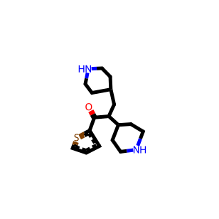 O=C(c1cccs1)C(CC1CCNCC1)C1CCNCC1